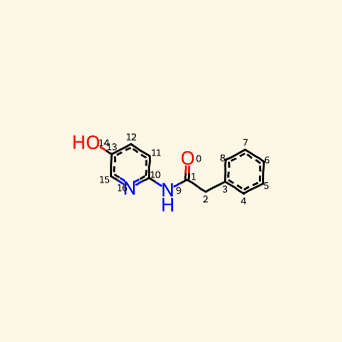 O=C(Cc1ccccc1)Nc1ccc(O)cn1